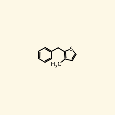 Cc1ccsc1Cc1ccccc1